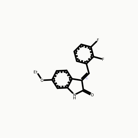 CCOc1ccc2c(c1)NC(=O)/C2=C/c1cccc(F)c1F